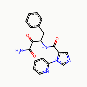 NC(=O)C(=O)C(Cc1ccccc1)NC(=O)c1cncn1-c1ccccn1